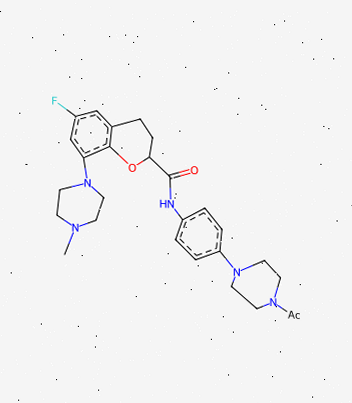 CC(=O)N1CCN(c2ccc(NC(=O)C3CCc4cc(F)cc(N5CCN(C)CC5)c4O3)cc2)CC1